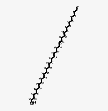 CCCCCCCCCCC=CCC=CCCCCCCCCCCCCCCCCCCCCCCO